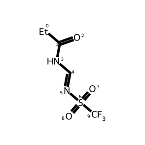 CCC(=O)NC=NS(=O)(=O)C(F)(F)F